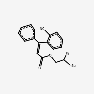 CCCCC(CC)COC(=O)C=C(c1ccccc1)c1ccccc1C#N